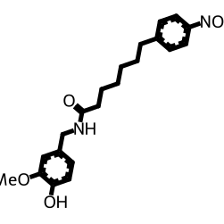 COc1cc(CNC(=O)CCCCCCc2ccc([N+](=O)[O-])cc2)ccc1O